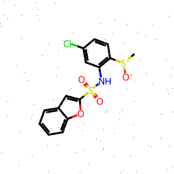 C[S+]([O-])c1ccc(Cl)cc1NS(=O)(=O)c1cc2ccccc2o1